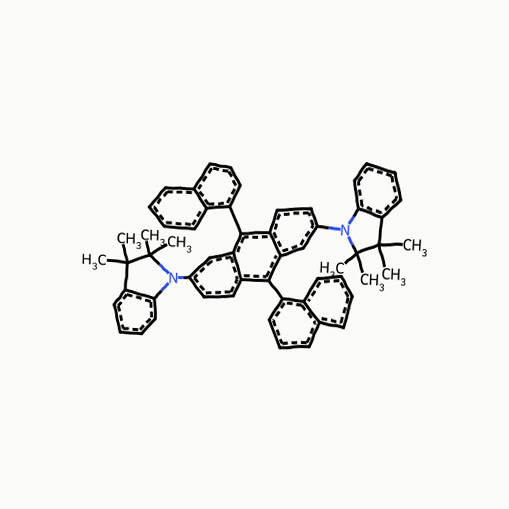 CC1(C)c2ccccc2N(c2ccc3c(-c4cccc5ccccc45)c4cc(N5c6ccccc6C(C)(C)C5(C)C)ccc4c(-c4cccc5ccccc45)c3c2)C1(C)C